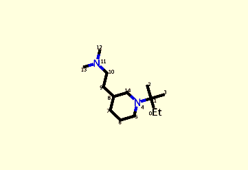 CCC(C)(C)N1CCCC(CCN(C)C)C1